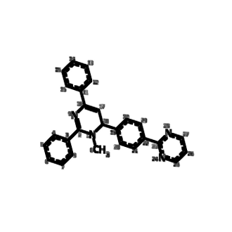 CN1C(c2ccccc2)=NC(c2ccccc2)=CC1c1ccc(-c2ncccn2)cc1